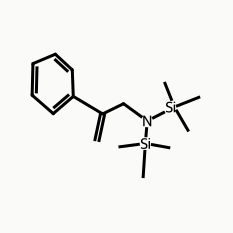 C=C(CN([Si](C)(C)C)[Si](C)(C)C)c1ccccc1